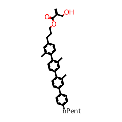 C=C(CO)C(=O)OCCCc1ccc(-c2ccc(-c3ccc(-c4ccc(CCCCC)cc4)cc3C)cc2C)c(C)c1